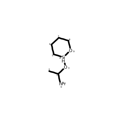 CCCC(C)O[SiH]1CCCCO1